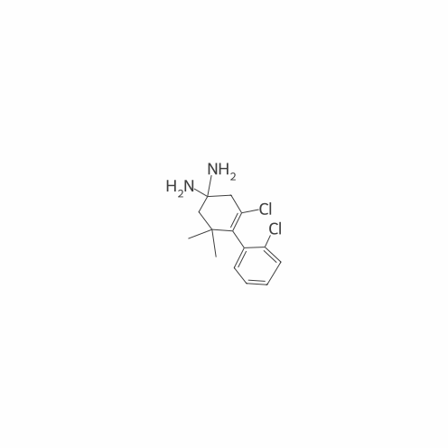 CC1(C)CC(N)(N)CC(Cl)=C1c1ccccc1Cl